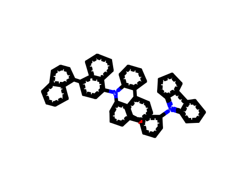 c1ccc(-c2ccccc2N(c2cccc(-c3cccc(-n4c5ccccc5c5ccccc54)c3)c2)c2ccc(-c3cccc4ccccc34)c3ccccc23)cc1